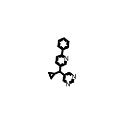 c1ccc(-c2ccc(C(c3cncnc3)C3CC3)cn2)cc1